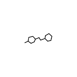 CC1CCC(CCC2CCCCC2)CC1